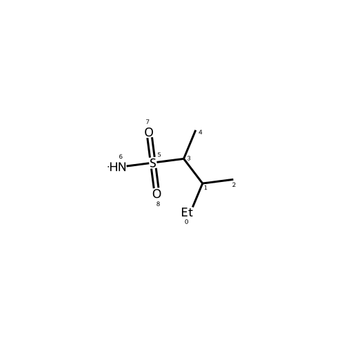 CCC(C)C(C)S([NH])(=O)=O